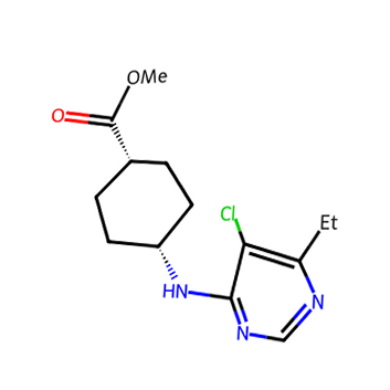 CCc1ncnc(N[C@H]2CC[C@@H](C(=O)OC)CC2)c1Cl